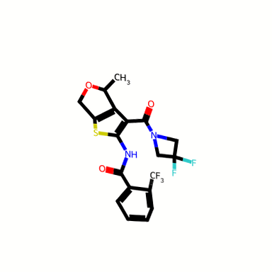 CC1OCc2sc(NC(=O)c3ccccc3C(F)(F)F)c(C(=O)N3CC(F)(F)C3)c21